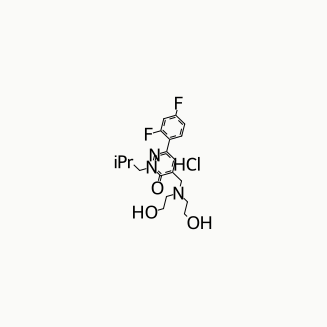 CC(C)Cn1nc(-c2ccc(F)cc2F)cc(CN(CCO)CCO)c1=O.Cl